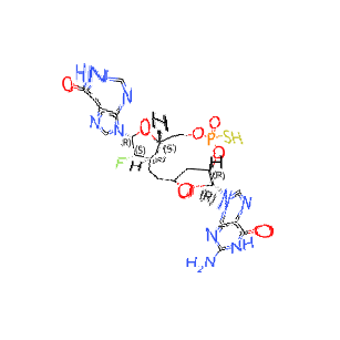 Nc1nc2c(ncn2[C@@H]2OC3CC[C@H]4[C@H](F)[C@H](n5cnc6c(=O)[nH]cnc65)O[C@@H]4COP(=O)(S)O[C@@H]2C3)c(=O)[nH]1